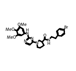 COc1cc(Nc2nccc(N3CCCC(C(=O)NCCc4ccc(Br)cc4)C3)n2)cc(OC)c1OC